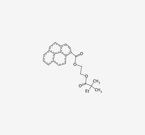 CCC(C)(C)C(=O)OCCOC(=O)c1ccc2ccc3cccc4ccc1c2c34